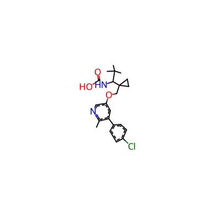 Cc1ncc(OCC2(C(NC(=O)O)C(C)(C)C)CC2)cc1-c1ccc(Cl)cc1